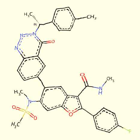 CNC(=O)c1c(-c2ccc(F)cc2)oc2cc(N(C)S(C)(=O)=O)c(-c3ccc4nnn([C@H](C)c5ccc(C)cc5)c(=O)c4c3)cc12